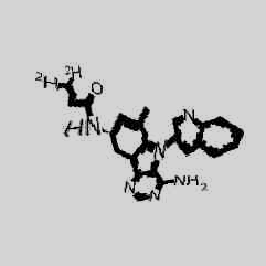 [2H]C([2H])=CC(=O)N[C@@H]1C=C(C)c2c(c3ncnc(N)c3n2-c2cnc3ccccc3c2)C1